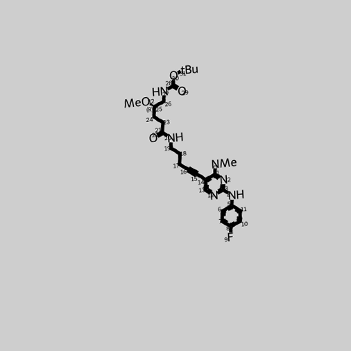 CNc1nc(Nc2ccc(F)cc2)ncc1C#CCCCNC(=O)CC[C@H](CNC(=O)OC(C)(C)C)OC